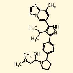 Cc1cc(-c2[nH]nc(-c3ccc(C4CCCN4C(O)CN(C)C)cc3)c2C(C)C)cn2ncnc12